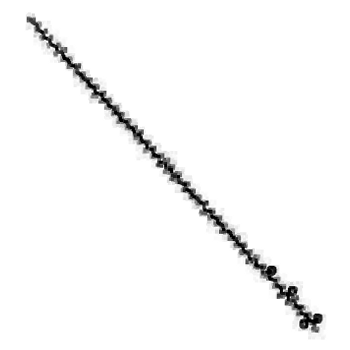 CCCCCCCCCCCCCCCCCCCCCCCCCCCCCCCCCCCCCCCCCCCCCCCCCCCCCCCCCCCCCCCCCCCCCC/C=C/CCC(=O)CCCCCC(=O)CCCCCCC(=O)C(C)=O